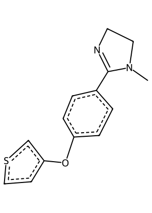 CN1CCN=C1c1ccc(Oc2ccsc2)cc1